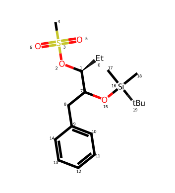 CC[C@H](OS(C)(=O)=O)C(Cc1ccccc1)O[Si](C)(C)C(C)(C)C